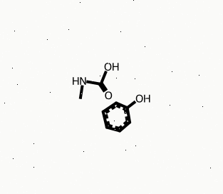 CNC(=O)O.Oc1ccccc1